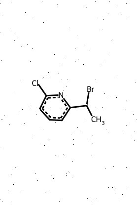 CC(Br)c1cccc(Cl)n1